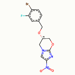 O=[N+]([O-])c1cn2c(n1)OC[C@@H](OCc1ccc(Br)c(F)c1)C2